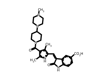 Cc1[nH]c(/C=C2\C(=O)Nc3ccc(C(=O)O)cc32)c(C)c1C(=O)N1CCC(N2CCN(C)CC2)CC1